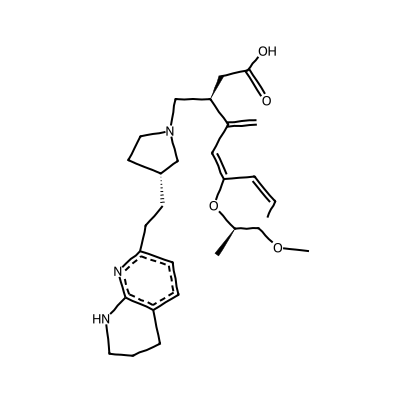 C=C(/C=C(\C=C/C)O[C@H](C)COC)[C@H](CC(=O)O)CN1CC[C@@H](CCc2ccc3c(n2)NCCC3)C1